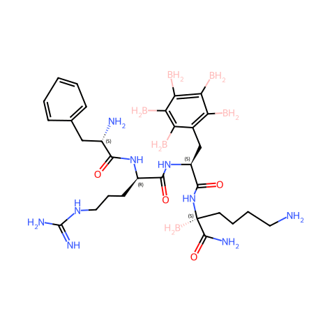 Bc1c(B)c(B)c(C[C@H](NC(=O)[C@@H](CCCNC(=N)N)NC(=O)[C@@H](N)Cc2ccccc2)C(=O)N[C@@](B)(CCCCN)C(N)=O)c(B)c1B